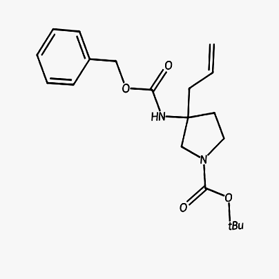 C=CCC1(NC(=O)OCc2ccccc2)CCN(C(=O)OC(C)(C)C)C1